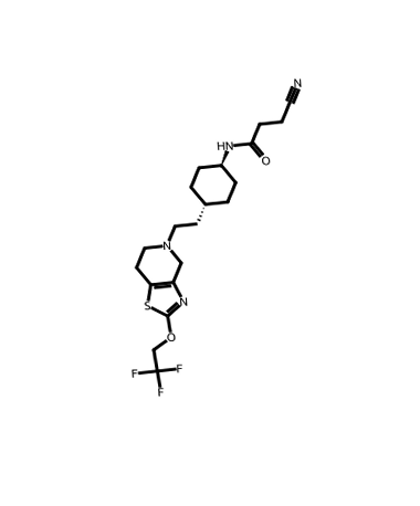 N#CCCC(=O)N[C@H]1CC[C@H](CCN2CCc3sc(OCC(F)(F)F)nc3C2)CC1